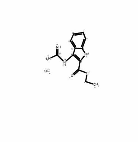 CCOC(=O)c1[nH]c2ccccc2c1NC(=N)N.Cl